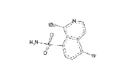 CC(C)(C)c1nccc2c(Br)ccc(S(N)(=O)=O)c12